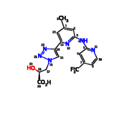 Cc1cc(Nc2cc(C(F)(F)F)ccn2)nc(-c2cn(C[C@H](O)C(=O)O)nn2)c1